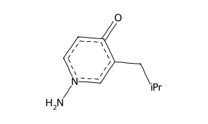 CC(C)Cc1cn(N)ccc1=O